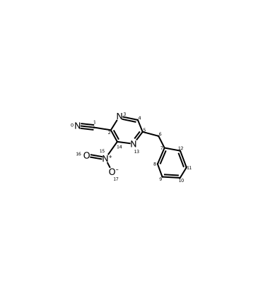 N#Cc1ncc(Cc2ccccc2)nc1[N+](=O)[O-]